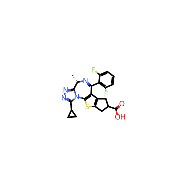 C[C@@H]1N=C(c2c(F)cccc2F)c2c(sc3c2CC(C(=O)O)C3)-n2c(C3CC3)nnc21